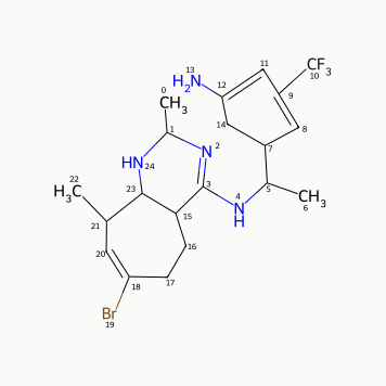 CC1N=C(NC(C)C2C=C(C(F)(F)F)C=C(N)C2)C2CCC(Br)=CC(C)C2N1